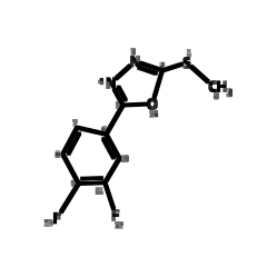 CSc1nnc(-c2ccc(F)c(F)c2)o1